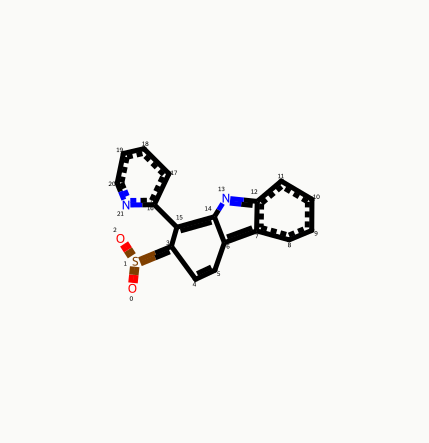 O=S(=O)=C1C=CC2=c3ccccc3=NC2=C1c1ccccn1